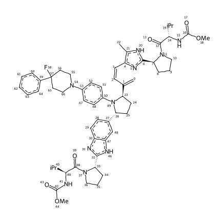 C=C(/C=C\c1nc([C@@H]2CCCN2C(=O)[C@@H](NC(=O)OC)C(C)C)[nH]c1C)[C@H]1CC[C@H](c2ccc3nc([C@@H]4CCCN4C(=O)[C@@H](NC(=O)OC)C(C)C)[nH]c3c2)N1c1ccc(N2CCC(F)(c3ccccc3)CC2)cc1